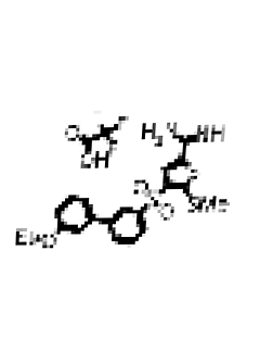 CCOc1cccc(-c2cccc(S(=O)(=O)c3cc(C(=N)N)sc3SC)c2)c1.O=C(O)C(F)(F)F